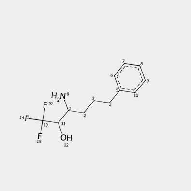 NC(CCCc1ccccc1)C(O)C(F)(F)F